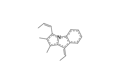 C/C=C\c1c(C)c(C)c2/c(=C\C)c3ccccc3n12